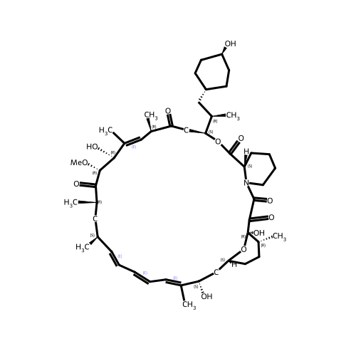 CO[C@H]1C(=O)[C@H](C)C[C@H](C)/C=C/C=C/C=C(\C)[C@@H](O)C[C@@H]2CC[C@@H](C)[C@@](O)(O2)C(=O)C(=O)N2CCCC[C@H]2C(=O)O[C@H]([C@H](C)C[C@H]2CC[C@H](O)CC2)CC(=O)[C@H](C)/C=C(\C)[C@H]1O